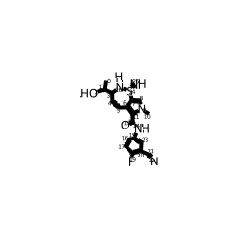 CC(O)C1C=Cc2c(cn(C)c2C(=O)Nc2ccc(F)c(C#N)c2)S(=N)N1